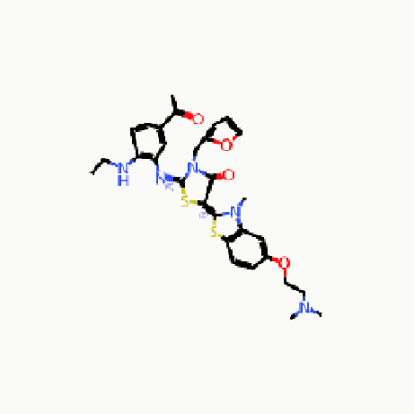 CCNc1ccc(C(C)=O)cc1/N=C1/S/C(=C2\Sc3ccc(OCCN(C)C)cc3N2C)C(=O)N1Cc1ccco1